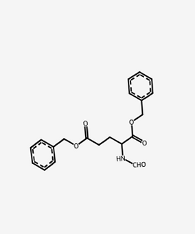 O=CNC(CCC(=O)OCc1ccccc1)C(=O)OCc1ccccc1